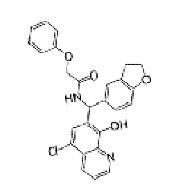 O=C(COc1ccccc1)NC(c1ccc2c(c1)CCO2)c1cc(Cl)c2cccnc2c1O